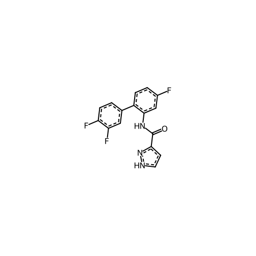 O=C(Nc1cc(F)ccc1-c1ccc(F)c(F)c1)c1cc[nH]n1